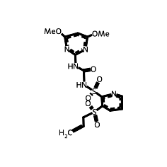 C=CCS(=O)(=O)c1cccnc1S(=O)(=O)NC(=O)Nc1nc(OC)cc(OC)n1